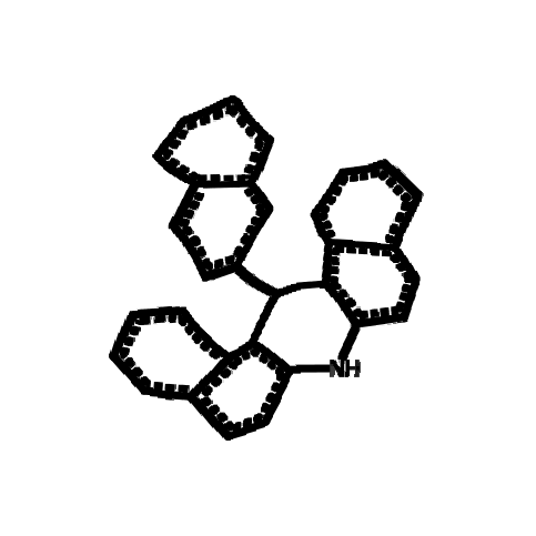 c1ccc2cc(C3c4c(ccc5ccccc45)Nc4ccc5ccccc5c43)ccc2c1